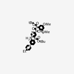 CCN1CCN(c2ccc(N(C(=O)OC(C)(C)C)c3cc(N(C)C(=O)N(C(=O)OC(C)(C)C)C4C=C(OC)C=C(OC)C4)ncn3)c(N)c2)CC1